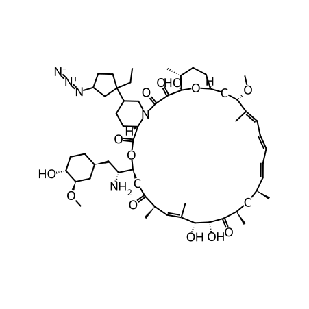 CCC1(C2CC[C@H]3C(=O)O[C@H]([C@H](N)C[C@@H]4CC[C@@H](O)[C@H](OC)C4)CC(=O)[C@H](C)/C=C(\C)[C@@H](O)[C@@H](O)C(=O)[C@H](C)C[C@H](C)/C=C/C=C/C=C(\C)[C@@H](OC)C[C@@H]4CC[C@@H](C)[C@@](O)(O4)C(=O)C(=O)N3C2)CCC(N=[N+]=[N-])C1